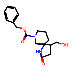 O=C1CC(CO)C2(CCCN(C(=O)OCc3ccccc3)C2)N1